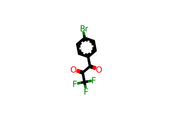 O=C(C(=O)C(F)(F)F)c1ccc(Br)cc1